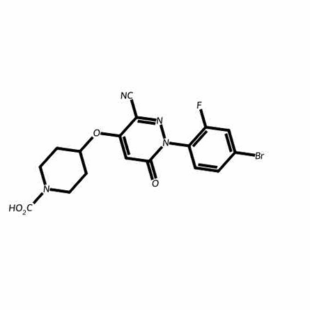 N#Cc1nn(-c2ccc(Br)cc2F)c(=O)cc1OC1CCN(C(=O)O)CC1